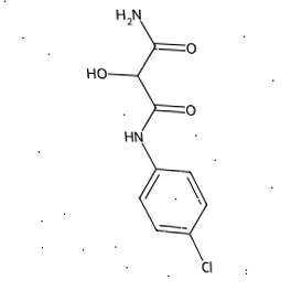 NC(=O)C(O)C(=O)Nc1ccc(Cl)cc1